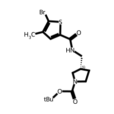 Cc1cc(C(=O)NC[C@@H]2CCN(C(=O)OC(C)(C)C)C2)sc1Br